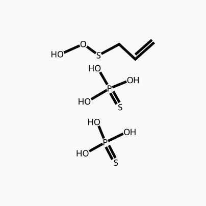 C=CCSOO.OP(O)(O)=S.OP(O)(O)=S